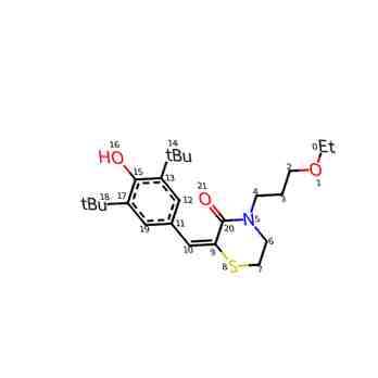 CCOCCCN1CCSC(=Cc2cc(C(C)(C)C)c(O)c(C(C)(C)C)c2)C1=O